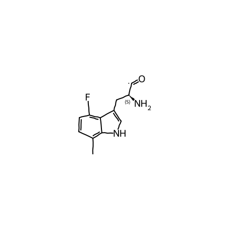 Cc1ccc(F)c2c(C[C@H](N)[C]=O)c[nH]c12